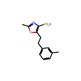 Cc1cccc(CCc2oc(C)nc2C(=O)O)c1